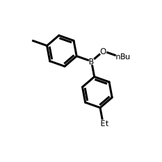 CCCCOB(c1ccc(C)cc1)c1ccc(CC)cc1